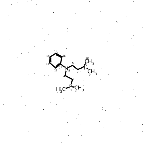 CP(C)CCN(CCP(C)C)c1ccccc1